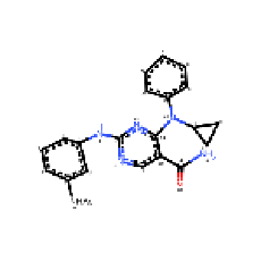 CC(=O)Nc1cccc(Nc2ncc(C(N)=O)c(N(c3ccccc3)C3CC3)n2)c1